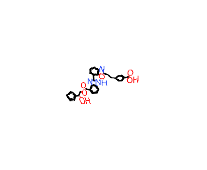 O=C(O)c1ccc(CCc2nc3cccc(-c4nc5c(C(=O)OCC(O)c6ccccc6)cccc5[nH]4)c3o2)cc1